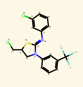 FC(F)(F)c1cccc(N2CC(CCl)SC2=Nc2cccc(Cl)c2)c1